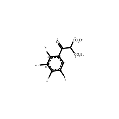 CCOC(=O)C(C(=O)OCC)C(=O)c1cc(F)c(F)c(F)c1F